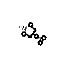 CB1Oc2ccccc2C2=N/C(=C(/c3ccc(-n4c5ccccc5c5ccccc54)cc3)c3ccc([nH]3)-c3ccccc3O1)C=C2